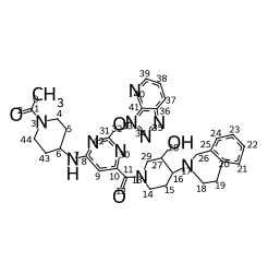 CC(=O)N1CCC(Nc2cc(C(=O)N3CCC(N4CCc5ccccc5C4)C(O)C3)nc(On3nnc4cccnc43)n2)CC1